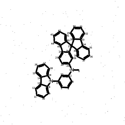 CN(c1cccc(-n2c3ccccc3c3ccccc32)c1)c1ccc2c(c1)C1(c3ccccc3-c3ccccc31)c1ccccc1-2